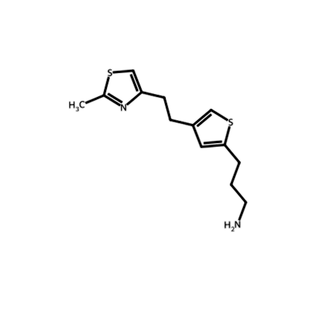 Cc1nc(CCc2csc(CCCN)c2)cs1